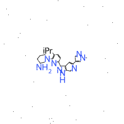 CC(C)c1ccc(-c2n[nH]c3cnc(-c4cnn(C)c4)cc23)nc1N1CCCC(N)C1